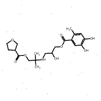 Cc1cc(O)c(O)cc1C(=O)OCC(O)CNC(C)(C)COC(=O)C1CCOC1